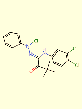 CC(C)(C)C(=O)C(=NN(Cl)c1ccccc1)Nc1ccc(Cl)c(Cl)c1